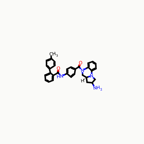 Cc1ccc(-c2ccccc2C(=O)Nc2ccc(C(=O)N3C[C@@H]4CC(N)CN4c4ccccc43)cc2)cc1